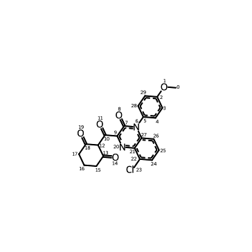 COc1ccc(-n2c(=O)c(C(=O)C3C(=O)CCCC3=O)nc3c(Cl)cccc32)cc1